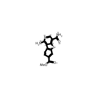 COC(=O)c1ccc2c(c1)sc1c(C(N)=O)cnc(N)c12